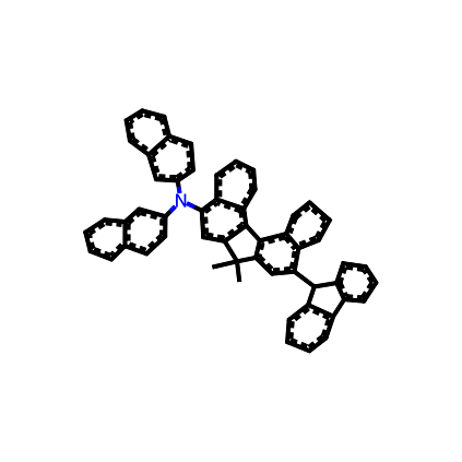 CC1(C)c2cc(C3c4ccccc4-c4ccccc43)c3ccccc3c2-c2c1cc(N(c1ccc3ccccc3c1)c1ccc3ccccc3c1)c1ccccc21